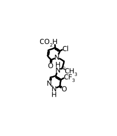 C[C@@H](Cn1c(Cl)c(C(=O)O)ccc1=O)Nc1cn[nH]c(=O)c1C(F)(F)F